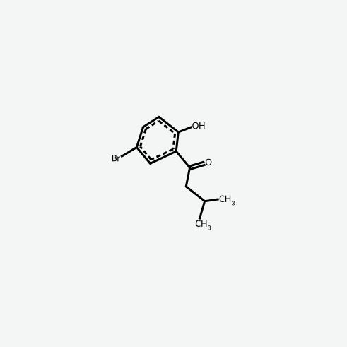 CC(C)CC(=O)c1cc(Br)ccc1O